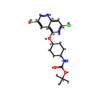 CC(C)(C)OC(=O)NC1CCC(Oc2nc(Cl)cc3ncc(Br)cc23)CC1